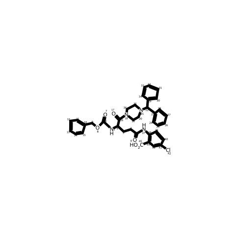 O=C(CCC(NC(=O)OCc1ccccc1)C(=O)N1CCN(C(c2ccccc2)c2ccccc2)CC1)Nc1ccc(Cl)cc1C(=O)O